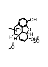 CN1CC[C@]23c4c5ccc(O)c4O[C@H]2[C@@H](O)C=C[C@H]3[C@H]1C5.COC.COC